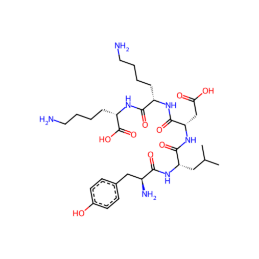 CC(C)C[C@H](NC(=O)[C@@H](N)Cc1ccc(O)cc1)C(=O)N[C@@H](CC(=O)O)C(=O)N[C@@H](CCCCN)C(=O)N[C@@H](CCCCN)C(=O)O